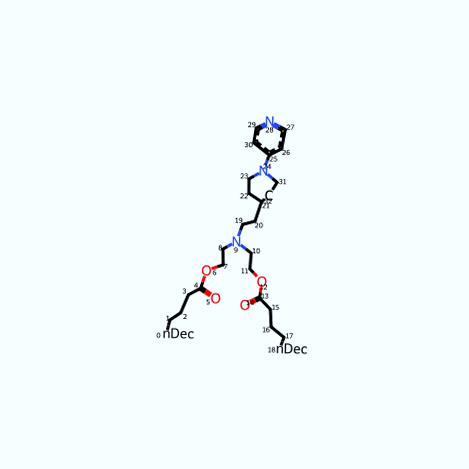 CCCCCCCCCCCCCC(=O)OCCN(CCOC(=O)CCCCCCCCCCCCC)CCC1CCN(c2ccncc2)CC1